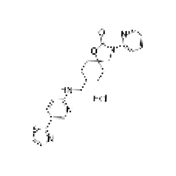 Cl.O=C1OC2(CCC(CNc3ccc(-c4nccs4)cn3)CC2)CN1c1ccccn1